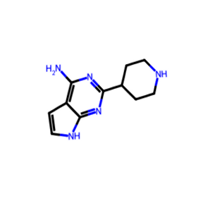 Nc1nc(C2CCNCC2)nc2[nH]ccc12